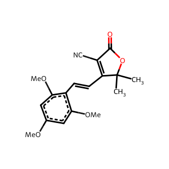 COc1cc(OC)c(C=CC2=C(C#N)C(=O)OC2(C)C)c(OC)c1